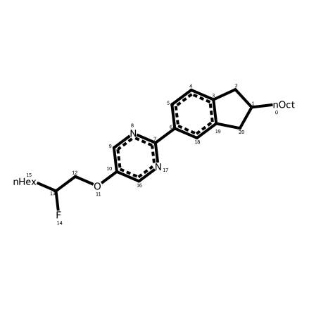 CCCCCCCCC1Cc2ccc(-c3ncc(OCC(F)CCCCCC)cn3)cc2C1